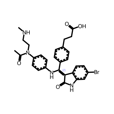 CNCCN(C(C)=O)c1ccc(N/C(=C2\C(=O)Nc3cc(Br)ccc32)c2ccc(CCC(=O)O)cc2)cc1